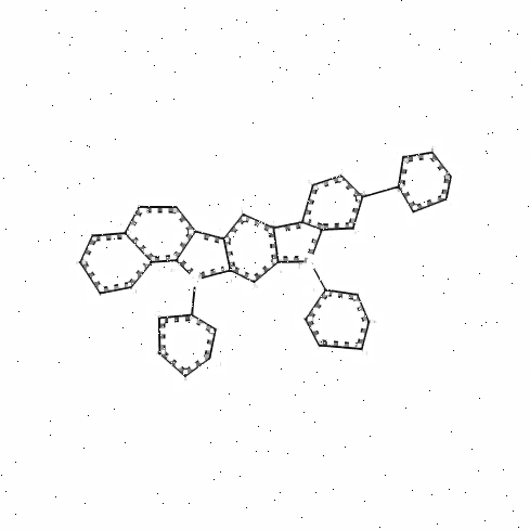 c1ccc(-c2ccc3c4cc5c6ccc7ccccc7c6n(-c6ccccc6)c5cc4n(-c4ccccc4)c3c2)cc1